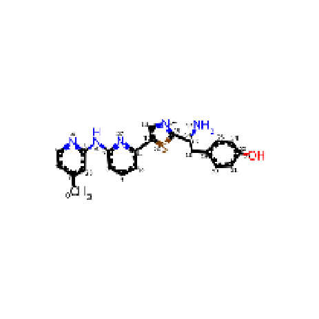 Cc1ccnc(Nc2cccc(-c3cnc([C@@H](N)Cc4ccc(O)cc4)s3)n2)c1